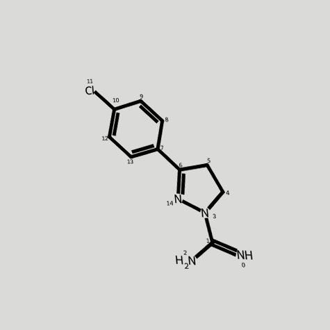 N=C(N)N1CCC(c2ccc(Cl)cc2)=N1